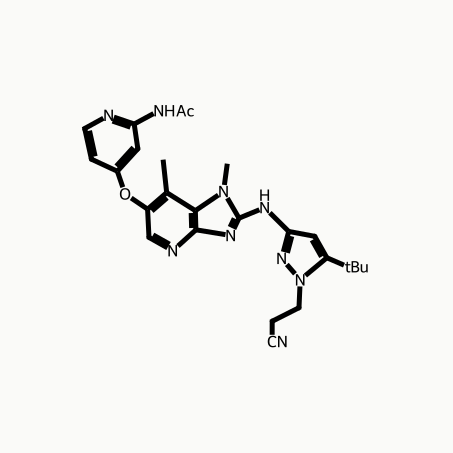 CC(=O)Nc1cc(Oc2cnc3nc(Nc4cc(C(C)(C)C)n(CCC#N)n4)n(C)c3c2C)ccn1